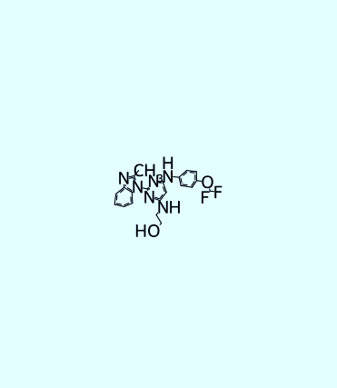 Cc1nc2ccccc2n1-c1nc(NCCO)cc(Nc2ccc(OC(F)F)cc2)n1